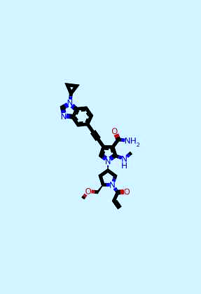 C=CC(=O)N1C[C@@H](n2cc(C#Cc3ccc4c(c3)ncn4C3CC3)c(C(N)=O)c2NC)C[C@@H]1COC